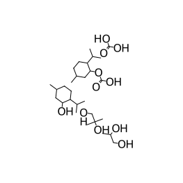 CC(C)(O)CO.CC(O)CO.CC1CCC(C(C)C)C(O)C1.CC1CCC(C(C)C)C(OC(=O)O)C1.O=C(O)O